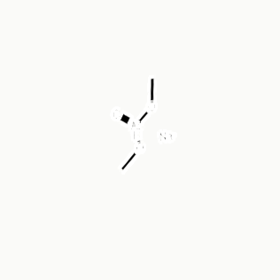 CO[AsH](=O)OC.[Na]